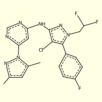 Cc1cc(C)n(-c2cc(Nc3nn(CC(F)F)c(-c4ccc(F)cc4)c3Cl)ncn2)n1